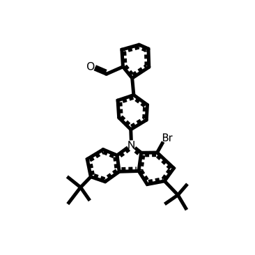 CC(C)(C)c1ccc2c(c1)c1cc(C(C)(C)C)cc(Br)c1n2-c1ccc(-c2ccccc2C=O)cc1